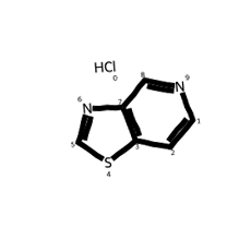 Cl.c1cc2scnc2cn1